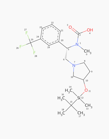 CN(C(=O)O)[C@H](CN1CCC(O[Si](C)(C)C(C)(C)C)C1)c1cccc(C(F)(F)F)c1